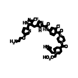 NCCOc1ccc(-c2[nH]nc(C(F)(F)F)c2Cc2cnc(C(=O)Nc3ccc(C(=O)N4CCN(C(=O)C5CC[N+](CC(=O)O)(CC6CNC6)CC5)CC4)c(Cl)c3)[nH]2)nc1